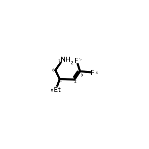 CCC(C=C(F)F)CN